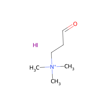 C[N+](C)(C)CCC=O.I